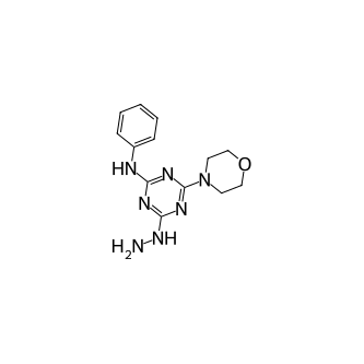 NNc1nc(Nc2ccccc2)nc(N2CCOCC2)n1